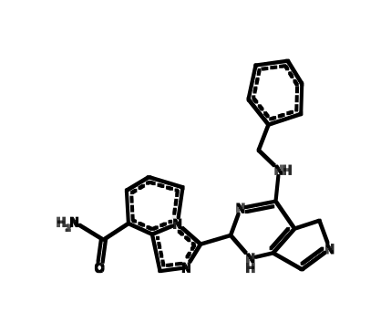 NC(=O)c1cccn2c(C3N=C(NCc4ccccc4)C4=C(C=NC4)N3)ncc12